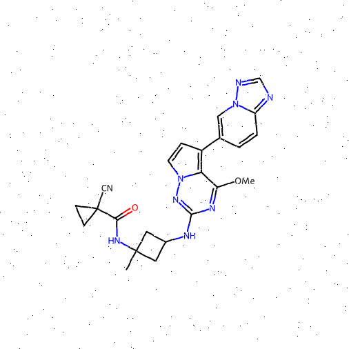 COc1nc(NC2CC(C)(NC(=O)C3(C#N)CC3)C2)nn2ccc(-c3ccc4ncnn4c3)c12